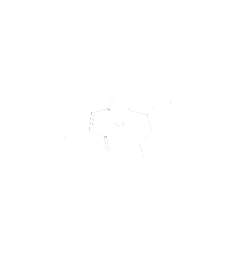 CC1=C(C)C(=O)NC1=O.NC(CCC(=O)O)C(=O)O